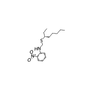 CCCCC[C@H](CC)SCNc1ccccc1[N+](=O)[O-]